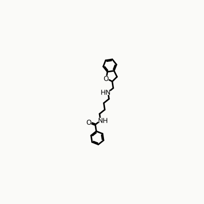 O=C(NCCCCNCC1Cc2ccccc2O1)c1ccccc1